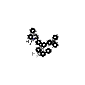 C/C1=C\C(C2C=CC3C(C2)C2CC(C4C=CC5C(C4)C4CCC=CC4N5C4=CC=CCC4)C=CC2N3C2=CC=CC3C2OC2C(C4C=CCCC4)CCCC32C)CCN(C2=CC=CCC2)C2C=CCCC12